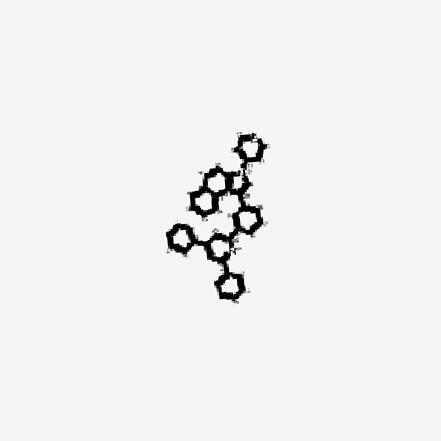 c1ccc(-c2cc(-c3ccccc3)nc(-c3cccc(-c4cn(-c5ccncc5)c5ccc6ccccc6c45)c3)c2)cc1